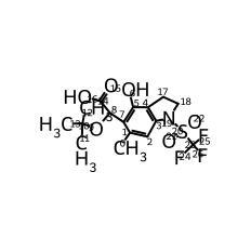 Cc1cc2c(c(O)c1C(OC(C)(C)C)C(=O)O)CCN2S(=O)(=O)C(F)(F)F